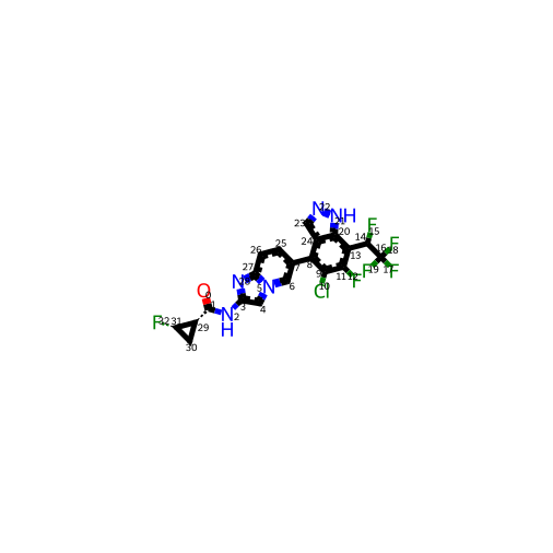 O=C(Nc1cn2cc(-c3c(Cl)c(F)c(C(F)C(F)(F)F)c4[nH]ncc34)ccc2n1)[C@@H]1C[C@@H]1F